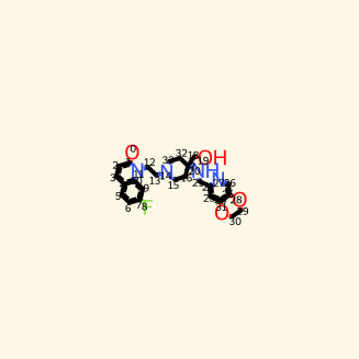 O=c1ccc2ccc(F)cc2n1CCN1CCC(CO)(NCc2cc3c(cn2)OCCO3)CC1